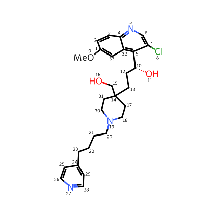 COc1ccc2ncc(Cl)c([C@H](O)CCC3(CO)CCN(CCCCc4ccncc4)CC3)c2c1